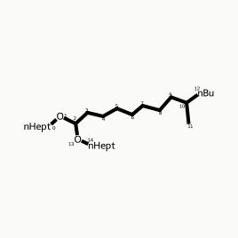 CCCCCCCOC(CCCCCCCC(C)CCCC)OCCCCCCC